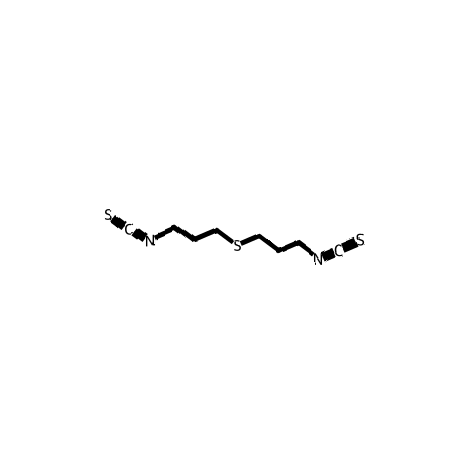 S=C=NCCCSCCCN=C=S